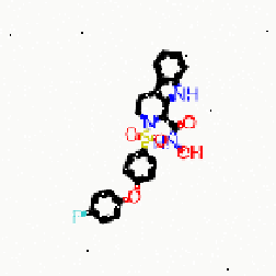 O=C(NO)C1c2[nH]c3ccccc3c2CCN1S(=O)(=O)c1ccc(Oc2ccc(F)cc2)cc1